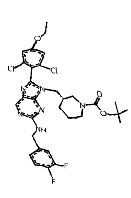 CCOc1cc(Cl)c(-c2nc3cnc(NCc4ccc(F)c(F)c4)nc3n2C[C@@H]2CCCN(C(=O)OC(C)(C)C)C2)c(Cl)c1